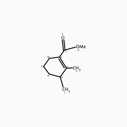 COC(=O)C1=C(C)C(C)CCC1